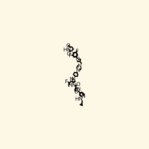 O=C1CC[C@H](c2c(F)cc(N3CC(CN4CCN(C5CCC(n6cc(NC(=O)c7coc(-c8ccnc(NCC9CC9)c8)n7)c(C(F)F)n6)CC5)CC4)C3)cc2F)C(=O)N1